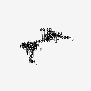 CCOC(=O)C(C)(COC(=O)OCC(C)C)COC(=O)OCC(C)(COC(=O)OCC(C)(CO)C(=O)OCC(O)CNCCOCCOCCN)C(=O)OCC(O)CNCCOCCOCCNCC(O)COC(=O)C(C)(COC(=O)OCC(C)(CO)C(=O)OCC(O)CNCCOCCOCCN)COC(=O)OCC(C)(COC(=O)OCC(C)C)C(=O)OCC